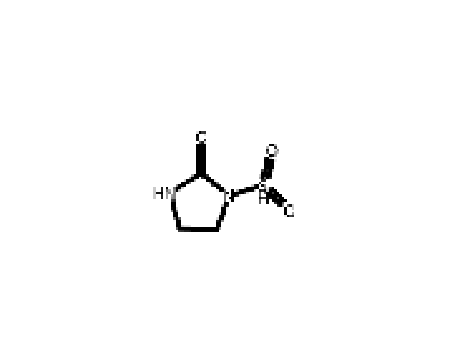 O=C1NCCN1[SH](=O)=O